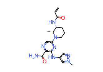 C=CC(=O)N[C@@H]1CCCN(c2cnc(C(N)=O)c(Nc3cnn(C)c3)n2)[C@@H]1C